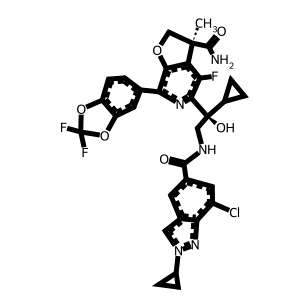 C[C@@]1(C(N)=O)COc2c(-c3ccc4c(c3)OC(F)(F)O4)nc([C@@](O)(CNC(=O)c3cc(Cl)c4nn(C5CC5)cc4c3)C3CC3)c(F)c21